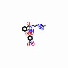 Cc1cn(CCCNC(=O)c2ccccc2NS(=O)(=O)c2ccc([N+](=O)[O-])cc2)cn1